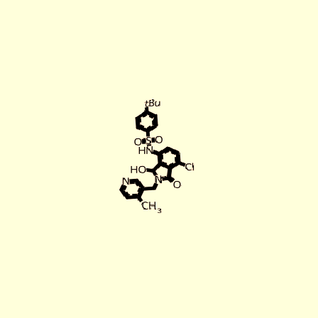 Cc1ccncc1CN1C(=O)c2c(Cl)ccc(NS(=O)(=O)c3ccc(C(C)(C)C)cc3)c2C1O